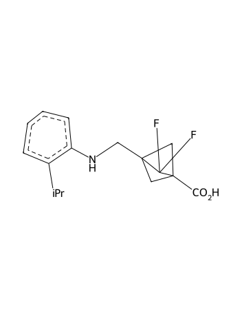 CC(C)c1ccccc1NCC12CC(C(=O)O)(C1)C2(F)F